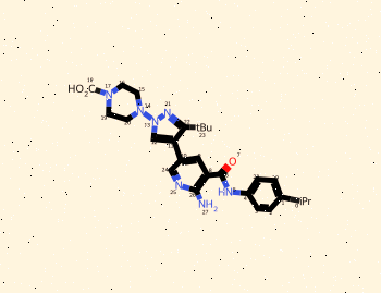 CC(C)c1ccc(NC(=O)c2cc(-c3cn(N4CCN(C(=O)O)CC4)nc3C(C)(C)C)cnc2N)cc1